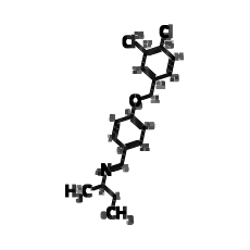 CCC(C)N=Cc1ccc(OCc2ccc(Cl)c(Cl)c2)cc1